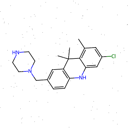 Cc1cc(Cl)cc2c1C(C)(C)c1cc(CN3CCNCC3)ccc1N2